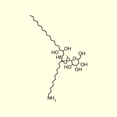 CCCCCCCCCCCCCC[C@@H](O)[C@@H](O)[C@H](CO[C@H]1OC(CO)[C@H](O)[C@H](O)[C@H]1O)NC(=O)CCCCCCCCCCCN